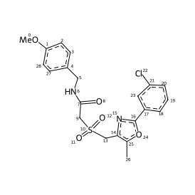 COc1ccc(CNC(=O)CS(=O)(=O)Cc2nc(-c3cccc(Cl)c3)oc2C)cc1